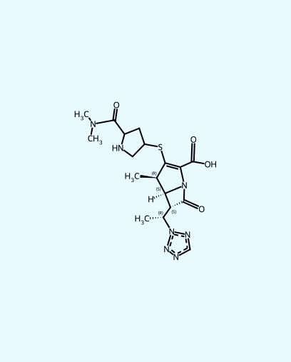 C[C@H]([C@H]1C(=O)N2C(C(=O)O)=C(SC3CNC(C(=O)N(C)C)C3)[C@H](C)[C@H]12)n1ncnn1